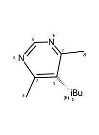 CC[C@@H](C)c1c(C)ncnc1C